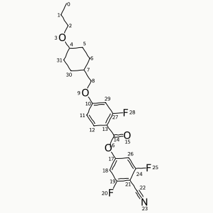 CCCOC1CCC(COc2ccc(C(=O)Oc3cc(F)c(C#N)c(F)c3)c(F)c2)CC1